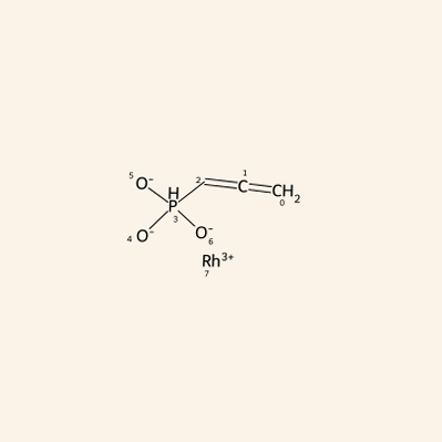 C=C=C[PH]([O-])([O-])[O-].[Rh+3]